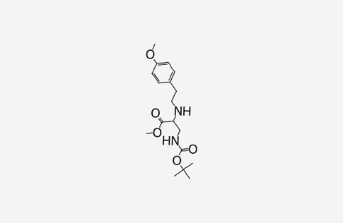 COC(=O)C(CNC(=O)OC(C)(C)C)NCCc1ccc(OC)cc1